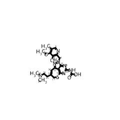 COc1c(C)cnc(Cn2nc3c4c(nc(NC(=O)O)nc42)SCC(CCN(C)C)=C3)c1C